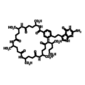 Nc1nc2[nH]cc(CCc3ccc(C(=O)NC(CCC(=O)NC(CCC(=O)NC(CCC(=O)NC(CCC(=O)NC(CCC(=O)NC(CCC(=O)O)C(=O)O)C(=O)O)C(=O)O)C(=O)O)C(=O)O)C(=O)O)cc3)c2c(=O)[nH]1